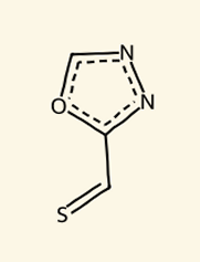 S=Cc1nnco1